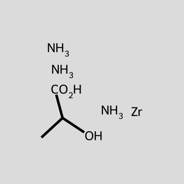 CC(O)C(=O)O.N.N.N.[Zr]